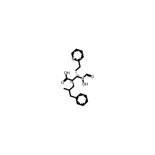 CC(Cc1ccccc1)C[C@@H](C(=O)O)[C@H](CCc1ccccn1)N(O)C=O